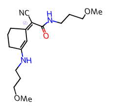 COCCCNC(=O)/C(C#N)=C1\C=C(NCCCOC)CCC1